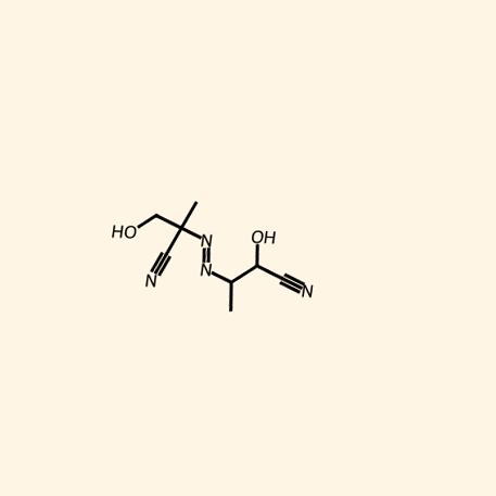 CC(/N=N/C(C)(C#N)CO)C(O)C#N